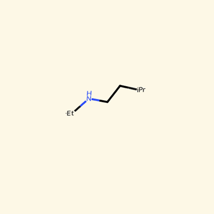 C[CH]NCCC(C)C